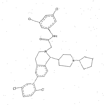 O=C(CN1CCc2cc(-c3cc(Cl)ccc3Cl)ccc2C1C1CCN(C2CCCC2)CC1)Nc1cc(Cl)cc(Cl)c1